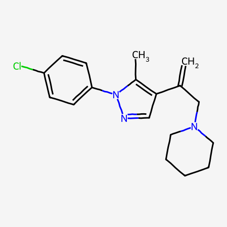 C=C(CN1CCCCC1)c1cnn(-c2ccc(Cl)cc2)c1C